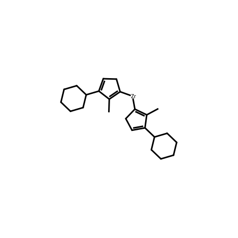 CC1=[C]([Zr][C]2=C(C)C(C3CCCCC3)=CC2)CC=C1C1CCCCC1